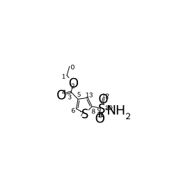 CCOC(=O)c1csc(S(N)(=O)=O)c1